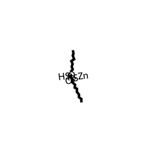 CCCCCCCCCOP(=O)(S)S(=S)CCCCCCCCC.[Zn]